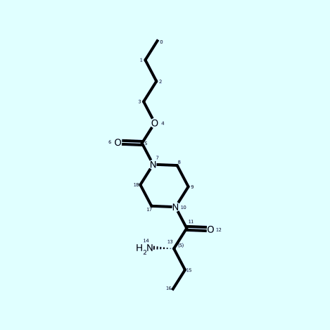 CCCCOC(=O)N1CCN(C(=O)[C@@H](N)CC)CC1